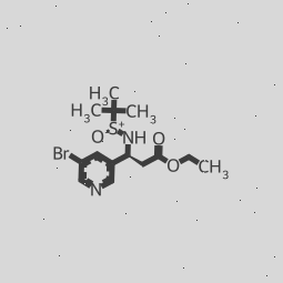 CCOC(=O)C[C@H](N[S@+]([O-])C(C)(C)C)c1cncc(Br)c1